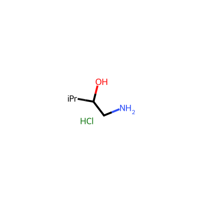 CC(C)C(O)CN.Cl